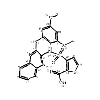 COc1cc(Nc2nc3ccccc3nc2NS(=O)(=O)c2ccsc2C(=O)O)cc(OC)c1